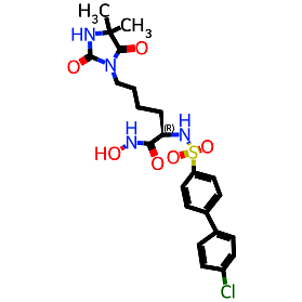 CC1(C)NC(=O)N(CCCC[C@@H](NS(=O)(=O)c2ccc(-c3ccc(Cl)cc3)cc2)C(=O)NO)C1=O